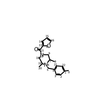 Cc1ccc(CN2C(C)CN(C(=O)c3ccco3)CC2C)cc1